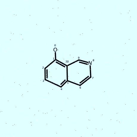 [O]c1cccc2ccncc12